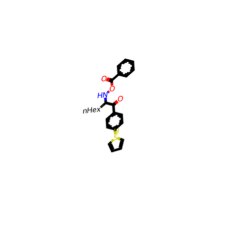 CCCCCCC(NOC(=O)c1ccccc1)C(=O)c1ccc([SH]2C=CC=C2)cc1